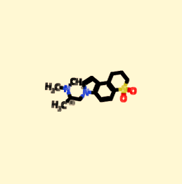 C[C@H](Cn1ccc2c3c(ccc21)S(=O)(=O)CCC3)N(C)C